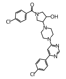 O=C(c1ccc(Cl)cc1)N1CC(O)C(N2CCN(c3cc(-c4ccc(Cl)cc4)ncn3)CC2)C1